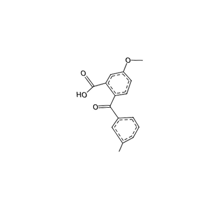 COc1ccc(C(=O)c2cccc(C)c2)c(C(=O)O)c1